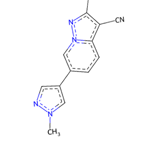 Cn1cc(-c2ccc3c(C#N)c(C(=O)O)nn3c2)cn1